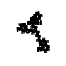 O=C(O)[C@H](CCN(CCCCc1ccc2c(n1)NCCC2)CCOc1cncc(F)c1)Nc1ccncn1